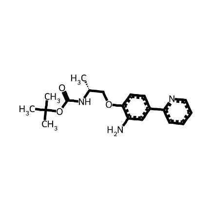 C[C@H](COc1ccc(-c2ccccn2)cc1N)NC(=O)OC(C)(C)C